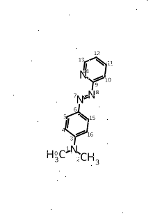 CN(C)c1ccc(/N=N/c2ccccn2)cc1